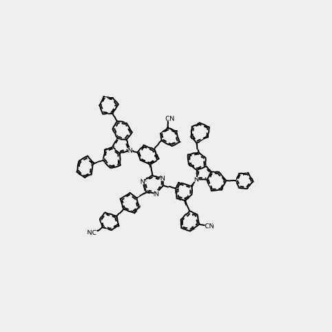 N#Cc1ccc(-c2ccc(-c3nc(-c4cc(-c5cccc(C#N)c5)cc(-n5c6ccc(-c7ccccc7)cc6c6cc(-c7ccccc7)ccc65)c4)nc(-c4cc(-c5cccc(C#N)c5)cc(-n5c6ccc(-c7ccccc7)cc6c6cc(-c7ccccc7)ccc65)c4)n3)cc2)cc1